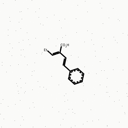 CCC=C(C=Cc1ccccc1)C(=O)O